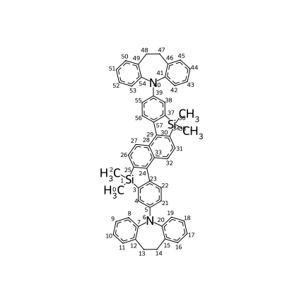 C[Si]1(C)c2cc(N3c4ccccc4CCc4ccccc43)ccc2-c2c1ccc1c3c(ccc21)[Si](C)(C)c1cc(N2c4ccccc4CCc4ccccc42)ccc1-3